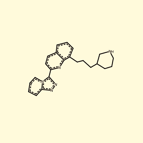 c1cc(CCCC2CCCNC2)c2nc(-c3nnc4ccccn34)ccc2c1